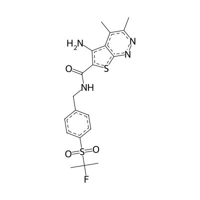 Cc1nnc2sc(C(=O)NCc3ccc(S(=O)(=O)C(C)(C)F)cc3)c(N)c2c1C